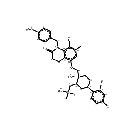 COc1ccc(CN2C(=O)CCc3c(OC[C@]4(O)CCN(c5ccc(Cl)cc5F)C[C@H]4O[Si](C)(C)C(C)(C)C)cc(F)c(Cl)c32)cc1